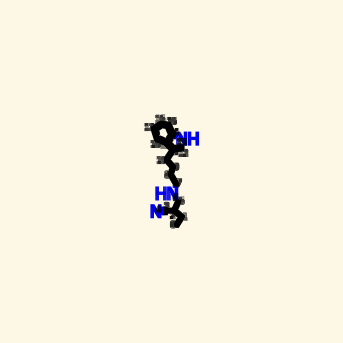 CCC(C#N)CNCCCCc1c[nH]c2ccccc12